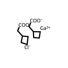 O=C([O-])CC1CCC1.O=C([O-])CC1CCC1.[Cl-].[Ga+3]